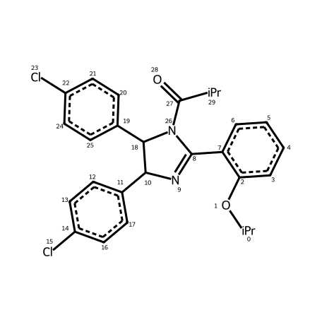 CC(C)Oc1ccccc1C1=NC(c2ccc(Cl)cc2)C(c2ccc(Cl)cc2)N1C(=O)C(C)C